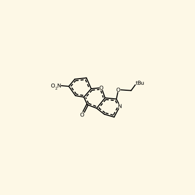 CC(C)(C)COc1nccc2c(=O)c3cc([N+](=O)[O-])ccc3oc12